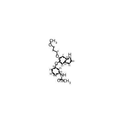 COCCCOc1cc2[nH]ccc2cc1Oc1ccnc(NC(C)=O)c1